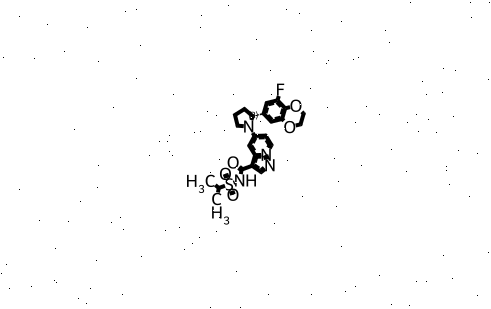 CC(C)S(=O)(=O)NC(=O)c1cnn2ccc(N3CCC[C@@H]3c3cc(F)c4c(c3)OCCO4)cc12